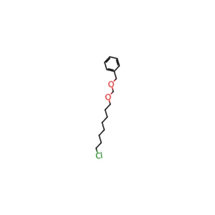 ClCCCCCCCCOCOCc1ccccc1